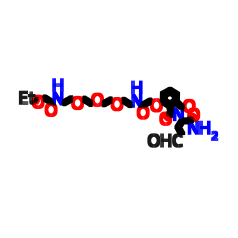 CCOCC(=O)NCCOCCOCCOCCNC(=O)COc1cccc2c1C(=O)N(C(CCC=O)C(N)=O)C2=O